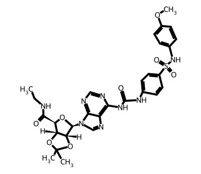 CCNC(=O)[C@H]1O[C@@H](n2cnc3c(NC(=O)Nc4ccc(S(=O)(=O)Nc5ccc(OC)cc5)cc4)ncnc32)[C@@H]2OC(C)(C)O[C@@H]21